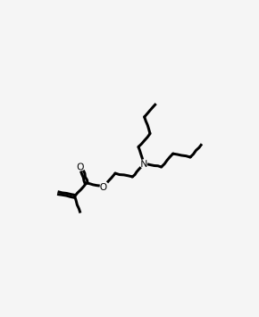 C=C(C)C(=O)OCCN(CCCC)CCCC